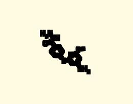 CSc1cc(N)cc(Sc2ccc(C(=O)NN)cc2)n1